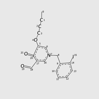 CCCCOc1cn(Cc2ccccc2I)cc(C=O)c1=O